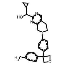 Cc1ccc(C2(c3ccc(N4CCc5cnc(C(O)C6CC6)nc5C4)cc3)COC2)cc1